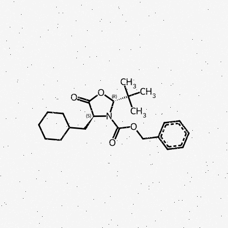 CC(C)(C)[C@H]1OC(=O)[C@H](CC2CCCCC2)N1C(=O)OCc1ccccc1